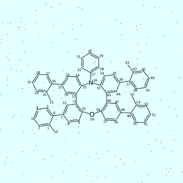 Cc1ccccc1-c1ccc2c(c1)-c1cc(-c3ccccc3C)ccc1N(c1ccccc1)c1ccc(-c3ccccc3C)cc1-c1cc(-c3ccccc3C)ccc1O2